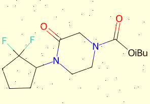 CC(C)COC(=O)N1CCN(C2CCCC2(F)F)C(=O)C1